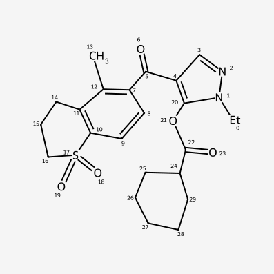 CCn1ncc(C(=O)c2ccc3c(c2C)CCCS3(=O)=O)c1OC(=O)C1CCCCC1